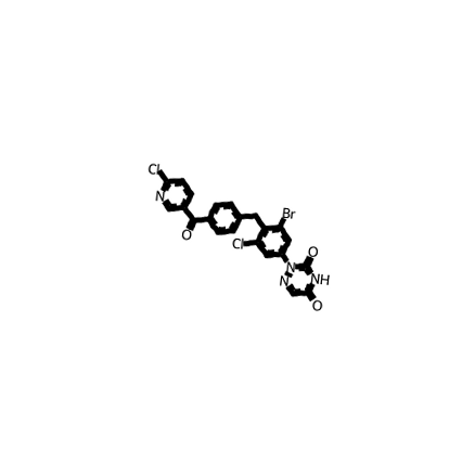 O=C(c1ccc(Cc2c(Cl)cc(-n3ncc(=O)[nH]c3=O)cc2Br)cc1)c1ccc(Cl)nc1